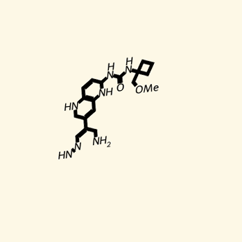 COCC1(NC(=O)NC2C=CC3=C(C=C(/C(=C/N=N)CN)CN3)N2)CCC1